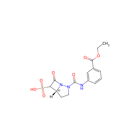 CCOC(=O)c1cccc(NC(=O)N2CC[C@@H]3C(S(=O)(=O)O)C(=O)N32)c1